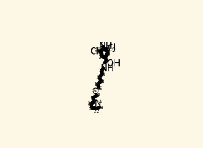 Nc1c(Cl)cc([C@H](O)CNCCCCCCOCCc2ccccn2)cc1Cl